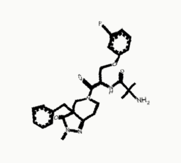 CN1N=C2CCN(C(=O)C(COc3cccc(F)c3)NC(=O)C(C)(C)N)CC2(Cc2ccccc2)C1=O